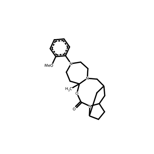 COc1ccccc1N1CCN2CC3CC4CCC(C3)N4C(=O)OC2(C)CC1